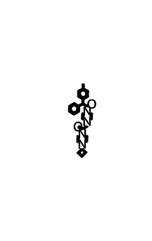 Cc1ccc(C(C(=O)N2CCN(CC(=O)N3CCN(C4CCC4)CC3)CC2)c2ccccc2)cc1